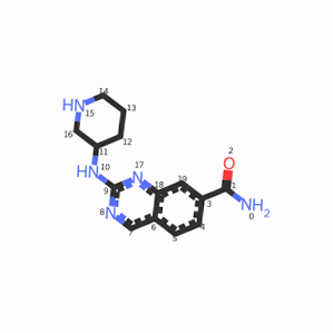 NC(=O)c1ccc2cnc(NC3CCCNC3)nc2c1